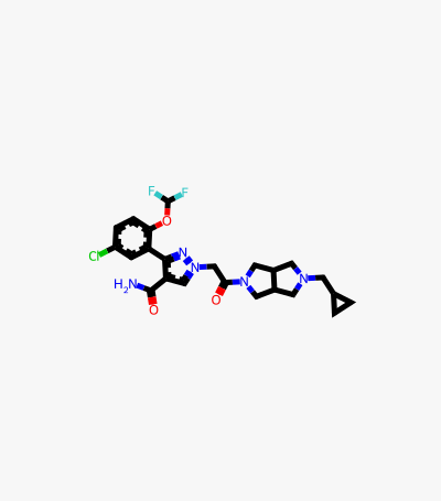 NC(=O)c1cn(CC(=O)N2CC3CN(CC4CC4)CC3C2)nc1-c1cc(Cl)ccc1OC(F)F